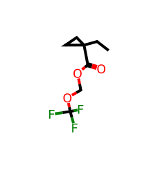 CCC1(C(=O)OCOC(F)(F)F)CC1